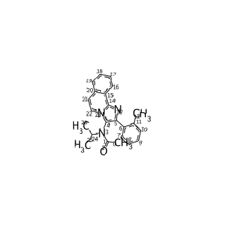 CC(=O)N(c1c(-c2ccccc2C)nc2c3ccccc3ccn12)C(C)C